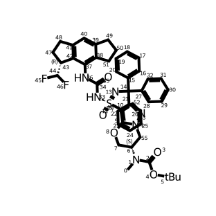 CN(C(=O)OC(C)(C)C)[C@@H]1COc2c([S@@](=O)(=NC(c3ccccc3)(c3ccccc3)c3ccccc3)NC(=O)Nc3c4c(cc5c3[C@H](C(F)F)CC5)CCC4)cnn2C1